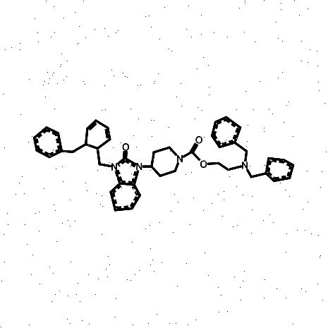 O=C(OCCN(Cc1ccccc1)Cc1ccccc1)N1CCC(n2c(=O)n(CC3C=CC=CC3Cc3ccccc3)c3ccccc32)CC1